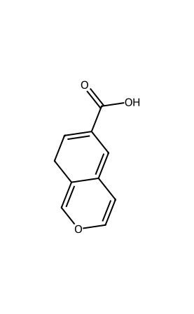 O=C(O)C1=CCC2=COC=CC2=C1